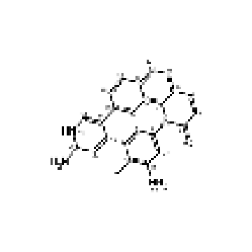 Cc1ccc(-n2c(=O)ccc3cnc4ccc(C5=CNC(N)C=C5)cc4c32)cc1N